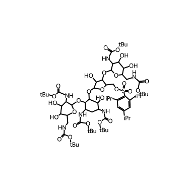 CC(C)c1cc(C(C)C)c(S(=O)(=O)OCC2OC(OC3C(O)C(NC(=O)OC(C)(C)C)CC(NC(=O)OC(C)(C)C)C3OC3OC(CNC(=O)OC(C)(C)C)C(O)C(O)C3NC(=O)OC(C)(C)C)C(O)C2OC2OC(CNC(=O)OC(C)(C)C)C(O)C(O)C2NC(=O)OC(C)(C)C)c(C(C)C)c1